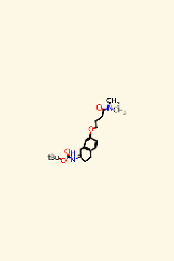 CN(C)C(=O)CCCOc1ccc2c(c1)C[C@@H](NC(=O)OC(C)(C)C)CC2